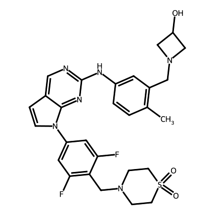 Cc1ccc(Nc2ncc3ccn(-c4cc(F)c(CN5CCS(=O)(=O)CC5)c(F)c4)c3n2)cc1CN1CC(O)C1